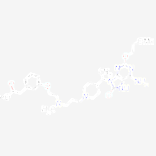 COCCOc1nc(N)c2[nH]c(=O)n(C(C)C3CCN(CCCN(C)CCOc4cccc(CC(=O)OC)c4)CC3)c2n1